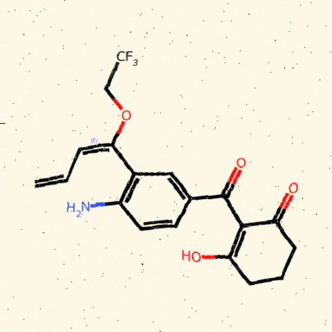 C=C/C=C(/OCC(F)(F)F)c1cc(C(=O)C2=C(O)CCCC2=O)ccc1N